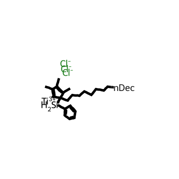 CCCCCCCCCCCCCCCCCCC1([SiH2]c2ccccc2)C(C)=C(C)C(C)=[C]1[Ti+3].[Cl-].[Cl-].[Cl-]